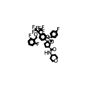 O=C(NC1CCOCC1)[C@H]1CC[C@](c2ccc(C(OCc3c(F)cccc3F)(C(F)(F)F)C(F)(F)F)cc2)(S(=O)(=O)c2ccc(F)cc2)C1